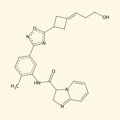 Cc1ccc(-c2noc(C3CC(=CCCO)C3)n2)cc1NC(=O)C1CN=C2C=CC=CN21